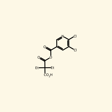 CCC(CC)(C(=O)O)C(=O)OC(=O)c1cnc(Cl)c(Cl)c1